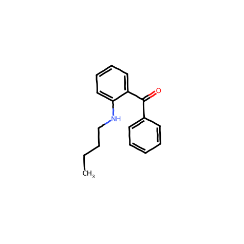 CCCCNc1ccccc1C(=O)c1ccccc1